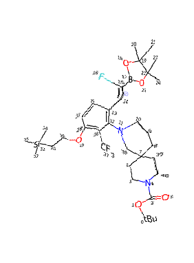 CC(C)(C)OC(=O)N1CCC2(CCCN(c3c(/C=C(\F)B4OC(C)(C)C(C)(C)O4)ccc(OCC[Si](C)(C)C)c3C(F)(F)F)C2)CC1